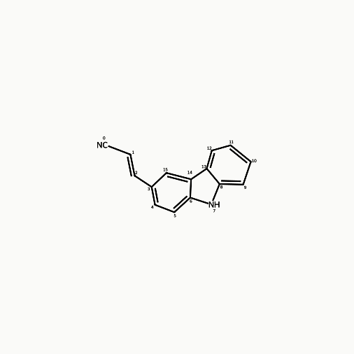 N#CC=Cc1ccc2[nH]c3ccccc3c2c1